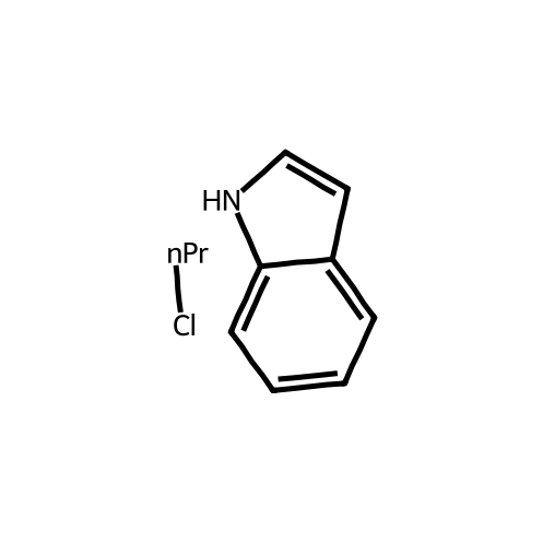 CCCCl.c1ccc2[nH]ccc2c1